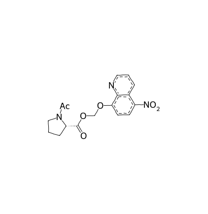 CC(=O)N1CCC[C@H]1C(=O)OCOc1ccc([N+](=O)[O-])c2cccnc12